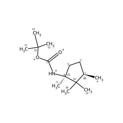 C[C@@H]1CC[C@](C)(NC(=O)OC(C)(C)C)C1(C)C